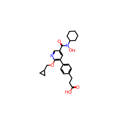 O=C(O)CCc1ccc(-c2cc(C(=O)N(O)C3CCCCC3)cnc2OCC2CC2)cc1